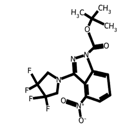 CC(C)(C)OC(=O)n1nc(N2CC(F)(F)C(F)(F)C2)c2c([N+](=O)[O-])cccc21